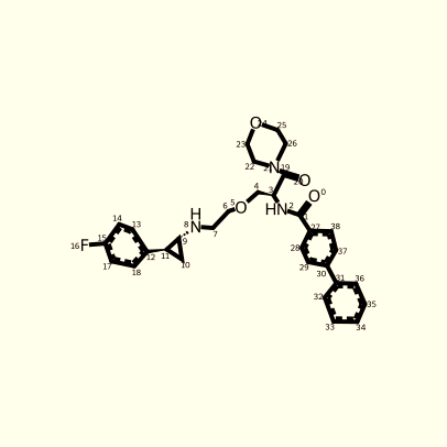 O=C(N[C@@H](COCCN[C@@H]1C[C@H]1c1ccc(F)cc1)C(=O)N1CCOCC1)c1ccc(-c2ccccc2)cc1